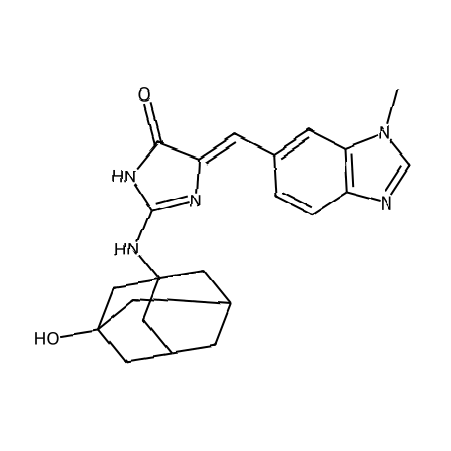 Cn1cnc2ccc(/C=C3\N=C(NC45CC6CC(CC(O)(C6)C4)C5)NC3=O)cc21